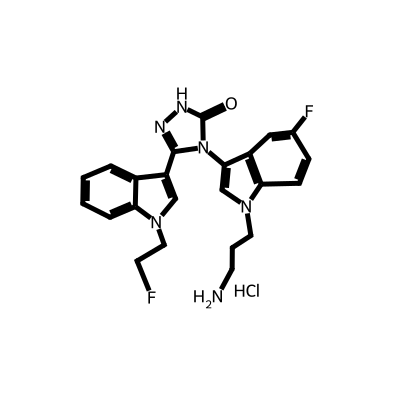 Cl.NCCCn1cc(-n2c(-c3cn(CCF)c4ccccc34)n[nH]c2=O)c2cc(F)ccc21